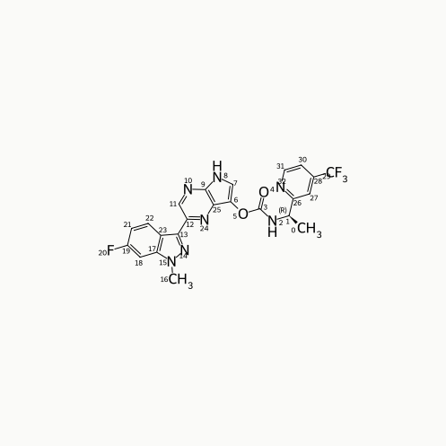 C[C@@H](NC(=O)Oc1c[nH]c2ncc(-c3nn(C)c4cc(F)ccc34)nc12)c1cc(C(F)(F)F)ccn1